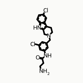 NCCC(=O)Nc1cc(Cl)cc(CN2CCc3c([nH]c4ccc(Cl)cc34)C2)c1